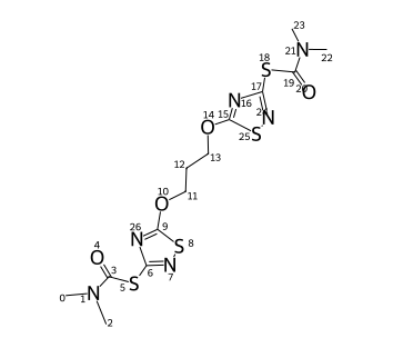 CN(C)C(=O)Sc1nsc(OCCCOc2nc(SC(=O)N(C)C)ns2)n1